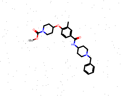 Cc1cc(C(=O)NC2CCN(Cc3ccccc3)CC2)ccc1OC1CCN(C(=O)OC(C)(C)C)CC1